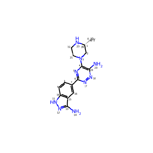 CC(C)[C@@H]1CN(c2nc(-c3ccc4[nH]nc(N)c4c3)nnc2N)CCN1